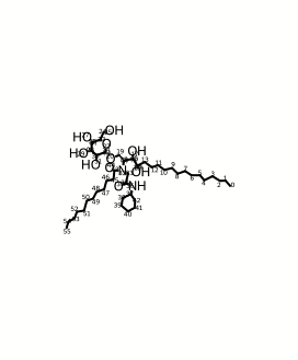 CCCCCCCCCCCCCC[C@@H](O)[C@@H](O)[C@H](CO[C@H]1OC(CO)[C@@H](O)[C@H](O)C1O)N(CC(=O)NC1CCCCC1)C(=O)CCCCCCCCCCC